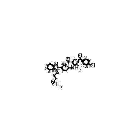 COCCCn1c(C2CCCN(C(=O)[C@@H]3CN(C(=O)c4ccc(Cl)cc4)C[C@H]3N)C2)nc2ccccc21